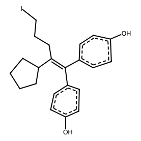 Oc1ccc(C(=C(CCCI)C2CCCC2)c2ccc(O)cc2)cc1